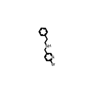 Brc1ccc(CNCCc2ccccc2)cn1